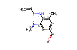 C=CCNc1c(C)cc(C=O)cc1N=C